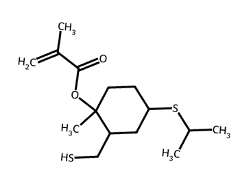 C=C(C)C(=O)OC1(C)CCC(SC(C)C)CC1CS